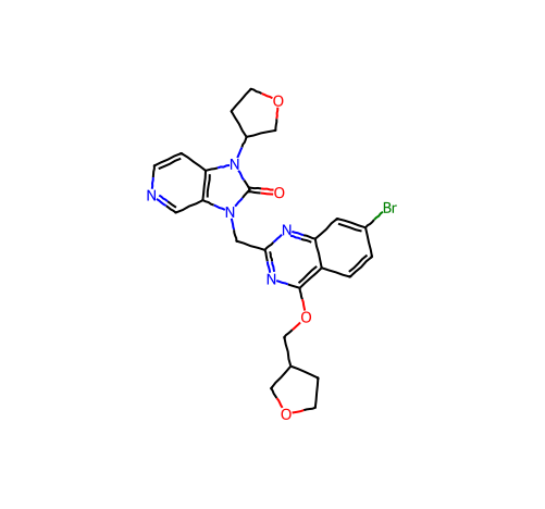 O=c1n(Cc2nc(OCC3CCOC3)c3ccc(Br)cc3n2)c2cnccc2n1C1CCOC1